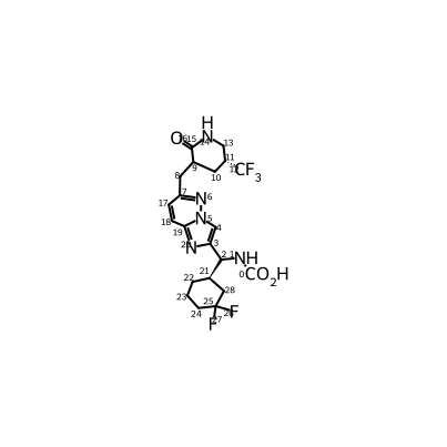 O=C(O)NC(c1cn2nc(CC3C[C@@H](C(F)(F)F)CNC3=O)ccc2n1)[C@@H]1CCCC(F)(F)C1